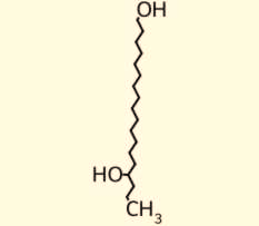 CCCC(O)CCCCCCCCCCCCCCO